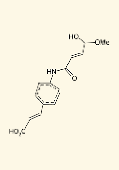 COC(O)/C=C/C(=O)Nc1ccc(/C=C/C(=O)O)cc1